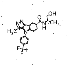 C[C@H](CO)NC(=O)c1ccc2c(c1)c1nnn(C)c1n2-c1ccc(C(F)(F)F)cc1